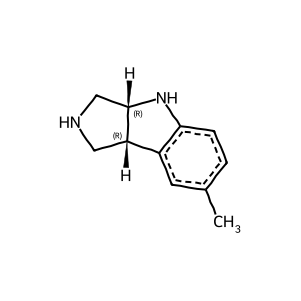 Cc1ccc2c(c1)[C@@H]1CNC[C@@H]1N2